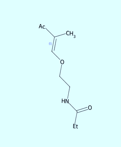 CCC(=O)NCCO/C=C(\C)C(C)=O